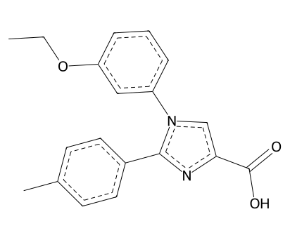 CCOc1cccc(-n2cc(C(=O)O)nc2-c2ccc(C)cc2)c1